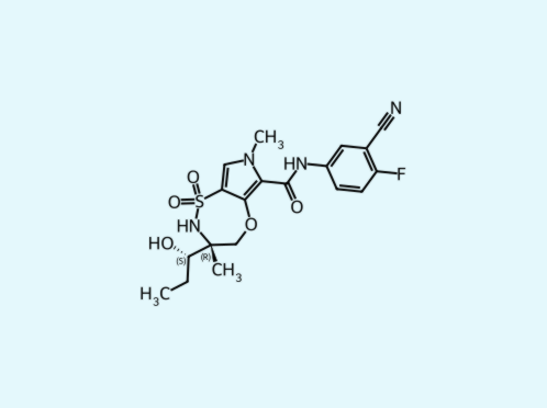 CC[C@H](O)[C@@]1(C)COc2c(cn(C)c2C(=O)Nc2ccc(F)c(C#N)c2)S(=O)(=O)N1